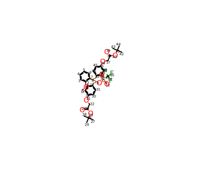 COc1ccccc1S(OS(=O)(=O)C(F)(F)F)(c1ccc(OCC(=O)OC(C)(C)C)cc1)c1ccc(OCC(=O)OC(C)(C)C)cc1